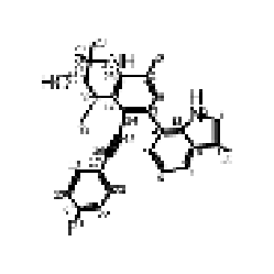 Cc1cc(-c2cccc3c(C)c[nH]c23)c(C#Cc2ccc(F)cc2)c2c1NC(C)(C)[C@@H](O)[C@@H]2C